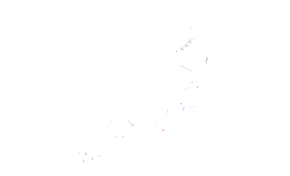 COc1ccc(CC2S/C(=N\c3ccc(C)cc3)NC2=O)cc1